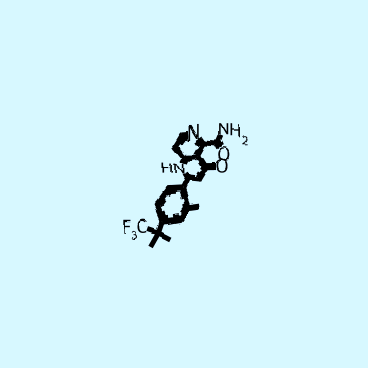 Cc1cc(C(C)(C)C(F)(F)F)ccc1-c1cc(=O)c2c(C(N)=O)nccc2[nH]1